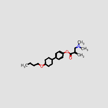 C=C(CN(C)C)C(=O)Oc1ccc(C2CCC(OCCCC)CC2)cc1